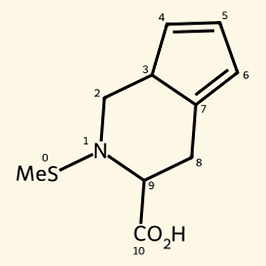 CSN1CC2C=CC=C2CC1C(=O)O